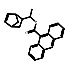 CC(OC(=O)c1c2ccccc2cc2ccccc12)C1CC2C=CC1C2